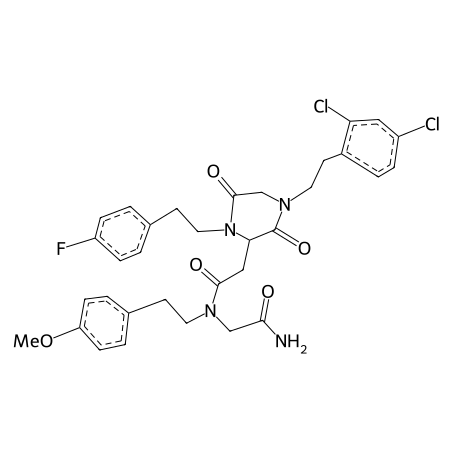 COc1ccc(CCN(CC(N)=O)C(=O)CC2C(=O)N(CCc3ccc(Cl)cc3Cl)CC(=O)N2CCc2ccc(F)cc2)cc1